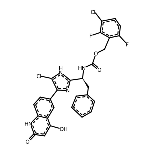 O=C(N[C@@H](Cc1ccccc1)c1nc(-c2ccc3[nH]c(=O)cc(O)c3c2)c(Cl)[nH]1)OCc1c(F)ccc(Cl)c1F